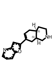 C1=C(c2cc3ncccc3o2)C[C@@H]2CNCC[C@@H]2C1